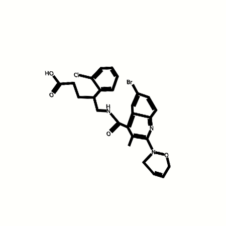 Cc1c(N2CC=CCO2)nc2ccc(Br)cc2c1C(=O)NCC(CCC(=O)O)c1ccccc1Cl